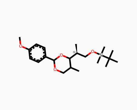 COc1ccc(C2OCC(C)C([C@@H](C)CO[Si](C)(C)C(C)(C)C)O2)cc1